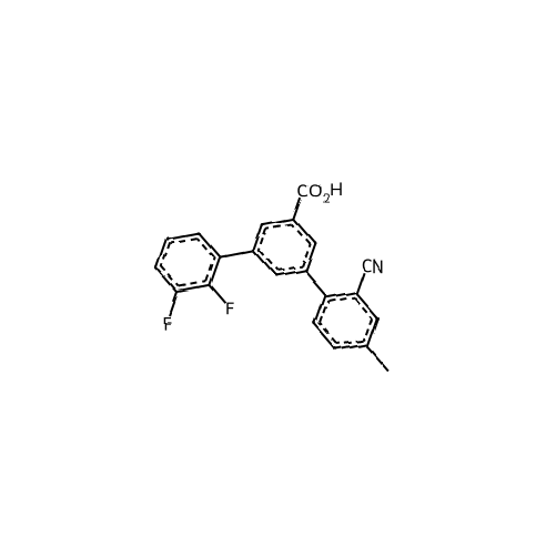 Cc1ccc(-c2cc(C(=O)O)cc(-c3cccc(F)c3F)c2)c(C#N)c1